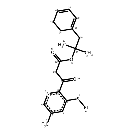 CCSc1cc(C(F)(F)F)cnc1C(=O)CC(=O)OC(C)(C)CC1=CC=CCC1